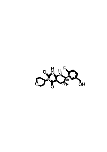 O=c1[nH]c2c(c(=O)n1C1CCOCC1)C[C@H](F)[C@H](c1cc(CO)ccc1F)N2